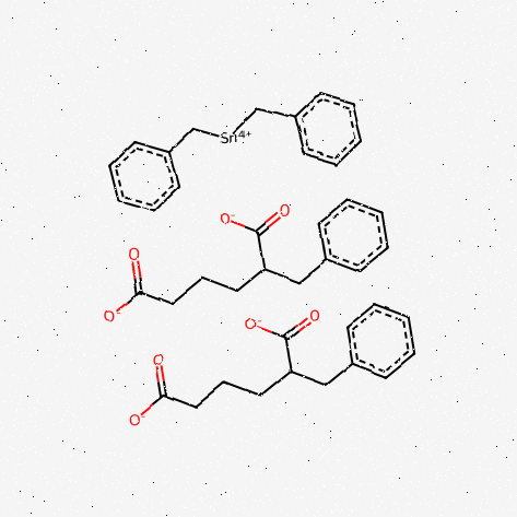 O=C([O-])CCCC(Cc1ccccc1)C(=O)[O-].O=C([O-])CCCC(Cc1ccccc1)C(=O)[O-].c1ccc([CH2][Sn+4][CH2]c2ccccc2)cc1